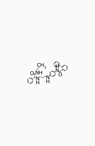 CCCNC(=O)C(NCCCNc1ccc(NC(=O)c2ccccc2-c2ccccc2)cc1)c1ccccc1